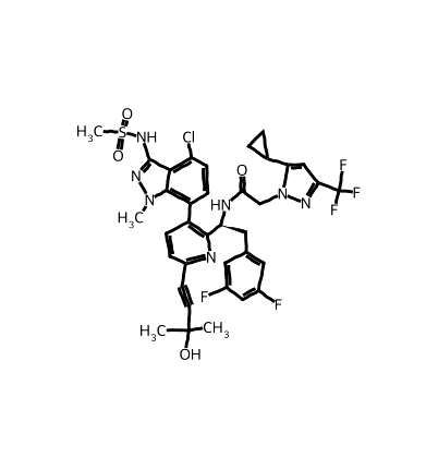 Cn1nc(NS(C)(=O)=O)c2c(Cl)ccc(-c3ccc(C#CC(C)(C)O)nc3[C@H](Cc3cc(F)cc(F)c3)NC(=O)Cn3nc(C(F)(F)F)cc3C3CC3)c21